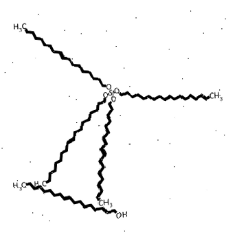 CCCCCCCCC=CCCCCCCCCO.CCCCCCCCC=CCCCCCCCCO[Si](OCCCCCCCCC=CCCCCCCCC)(OCCCCCCCCC=CCCCCCCCC)OCCCCCCCCC=CCCCCCCCC